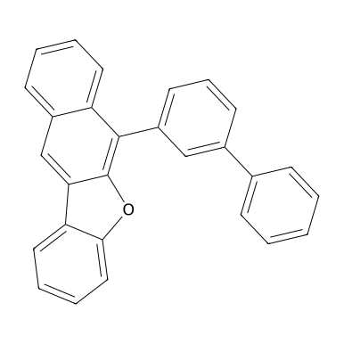 c1ccc(-c2cccc(-c3c4ccccc4cc4c3oc3ccccc34)c2)cc1